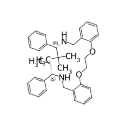 CC[C@H](NCc1ccccc1OCCOc1ccccc1CN[C@@H](c1ccccc1)C(C)(C)C)c1ccccc1